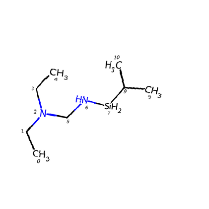 CCN(CC)CN[SiH2]C(C)C